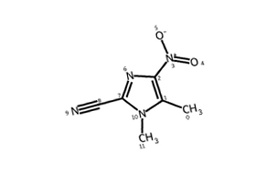 Cc1c([N+](=O)[O-])nc(C#N)n1C